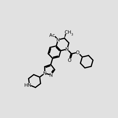 CC(=O)N1c2ccc(-c3cnn(C4CCNCC4)c3)cc2N(C(=O)OC2CCCCC2)C[C@@H]1C